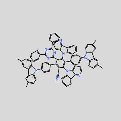 Cc1ccc2c(c1)c1cc(C)ccc1n2-c1ccc(-c2c(C#N)c(-n3c4ccccc4c4ncccc43)c(-c3ccc(-n4c5ccc(C)cc5c5cc(C)ccc54)cc3)c(-n3c4ccccc4c4ncccc43)c2-c2nc(-c3ccccc3)nc(-c3ccccc3)n2)cc1